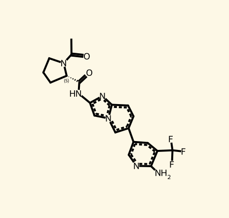 CC(=O)N1CCC[C@H]1C(=O)Nc1cn2cc(-c3cnc(N)c(C(F)(F)F)c3)ccc2n1